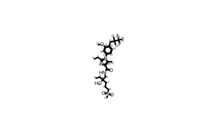 CCc1nc(C(=O)NCC(O)(CC)CCCS(C)(=O)=O)c(C)n1-c1ccc(CC(C)(C)C(F)(F)F)c(OC)c1